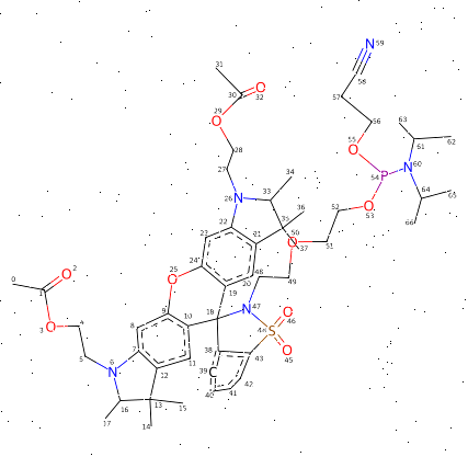 CC(=O)OCCN1c2cc3c(cc2C(C)(C)C1C)C1(c2cc4c(cc2O3)N(CCOC(C)=O)C(C)C4(C)C)c2ccccc2S(=O)(=O)N1CCOCCOP(OCCC#N)N(C(C)C)C(C)C